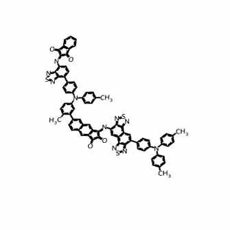 Cc1ccc(N(c2ccc(C)cc2)c2ccc(-c3cc4c(cc(/N=c5\c(=O)c(=O)c6cc7ccc(-c8cc(N(c9ccc(C)cc9)c9ccc(-c%10ccc(N=c%11c(=O)c%12ccccc%12c%11=O)c%11nsnc%10%11)cc9)ccc8C)cc7cc56)c5nsnc54)c4nsnc34)cc2)cc1